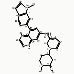 CN1CCC(N2C=CC=C(Nc3cc(-c4ccc5ccn(C)c5c4)c4nccnc4c3)C2)CC1=O